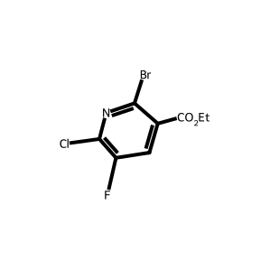 CCOC(=O)c1cc(F)c(Cl)nc1Br